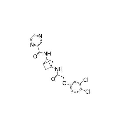 O=C(COc1ccc(Cl)c(Cl)c1)NC12CC(C1)C(NC(=O)c1cnccn1)C2